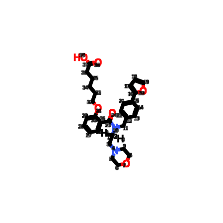 [2H]C([2H])(CN1CCOCC1)N(Cc1ccc(-c2ccco2)cc1)C(=O)c1ccccc1OCCCCCC(=O)O